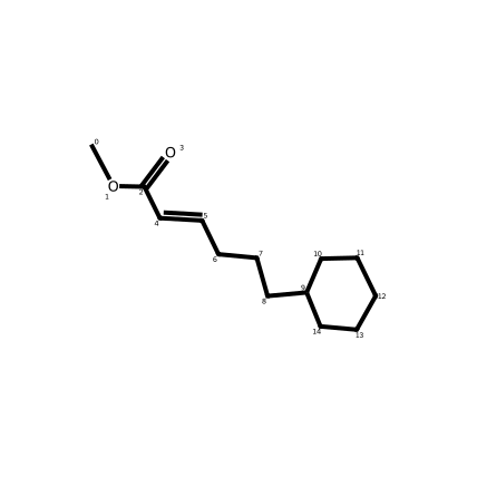 COC(=O)/C=C/CCCC1CCCCC1